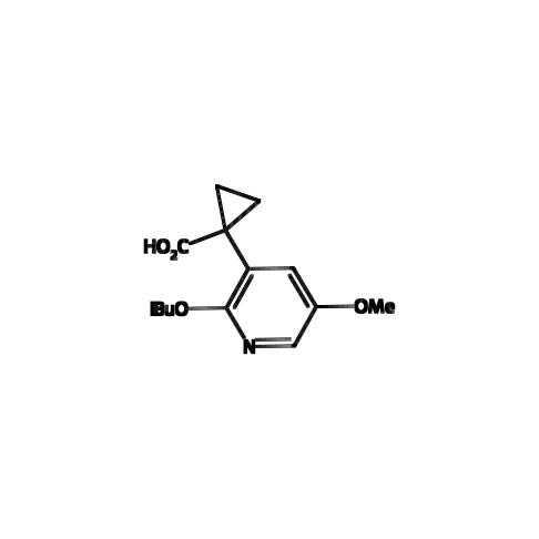 COc1cnc(OCC(C)C)c(C2(C(=O)O)CC2)c1